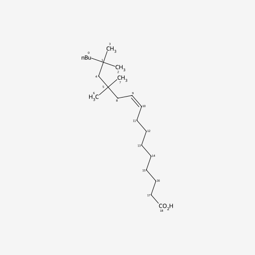 CCCCC(C)(C)CC(C)(C)C/C=C\CCCCCCCC(=O)O